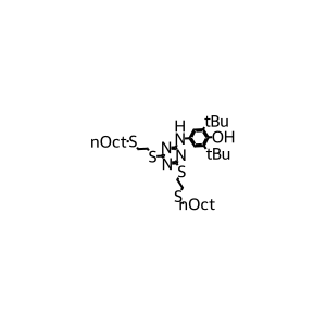 CCCCCCCCSCCSc1nc(Nc2cc(C(C)(C)C)c(O)c(C(C)(C)C)c2)nc(SCCSCCCCCCCC)n1